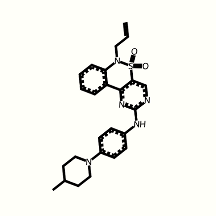 C=CCN1c2ccccc2-c2nc(Nc3ccc(N4CCC(C)CC4)cc3)ncc2S1(=O)=O